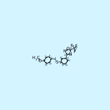 COc1ccc(CSc2[c]ccc(-c3noc(C(F)(F)F)n3)c2)cc1